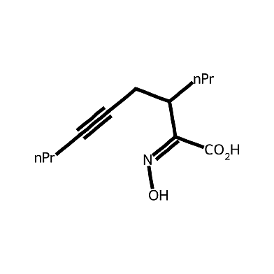 CCCC#CCC(CCC)C(=NO)C(=O)O